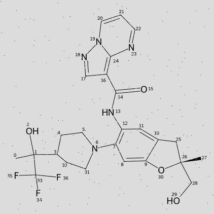 CC(O)(C1CCN(c2cc3c(cc2NC(=O)c2cnn4cccnc24)C[C@](C)(CO)O3)CC1)C(F)(F)F